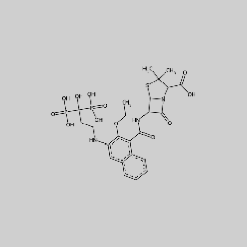 CCOc1c(NCCC(O)(P(=O)(O)O)P(=O)(O)O)cc2ccccc2c1C(=O)NC1C(=O)N2C1SC(C)(C)C2C(=O)O